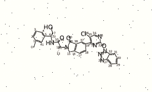 Cc1cccc([C@@H](CO)NC(=O)[C@@H](C)N2Cc3ccc(-c4nc(On5nnc6ccccc65)ncc4Cl)cc3C2=O)c1